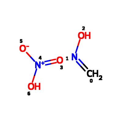 C=NO.O=[N+]([O-])O